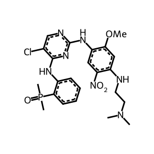 COc1cc(NCCN(C)C)c([N+](=O)[O-])cc1Nc1ncc(Cl)c(Nc2ccccc2P(C)(C)=O)n1